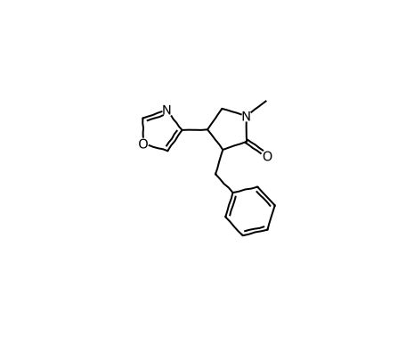 CN1CC(c2cocn2)C(Cc2ccccc2)C1=O